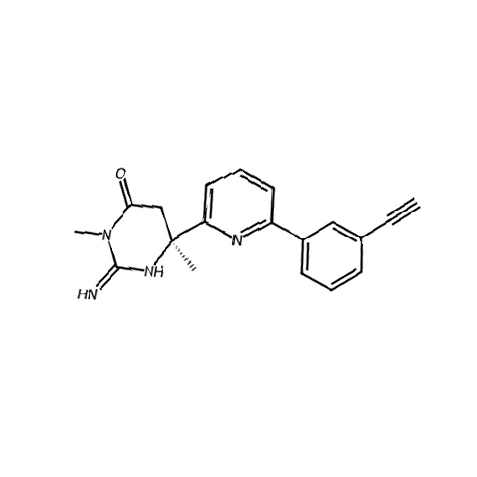 C#Cc1cccc(-c2cccc([C@]3(C)CC(=O)N(C)C(=N)N3)n2)c1